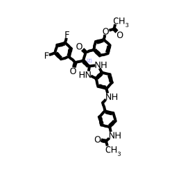 CC(=O)Nc1ccc(CNc2ccc3c(c2)N/C(=C(\C(=O)c2cc(F)cc(F)c2)C(=O)c2cccc(OC(C)=O)c2)N3)cc1